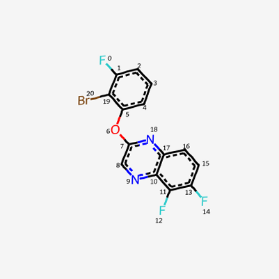 Fc1cccc(Oc2cnc3c(F)c(F)ccc3n2)c1Br